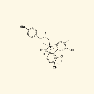 Cc1cc2c3c(c1O)O[C@@H]1[C@]34CC[N@+](C)(CC(C)Cc3ccc(C(C)(C)C)cc3)[C@H](C2)[C@@H]4C=C[C@]1(C)O